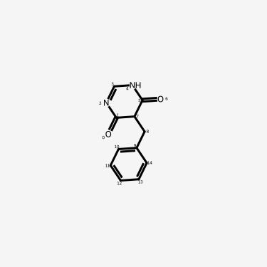 O=C1N=CNC(=O)C1Cc1ccccc1